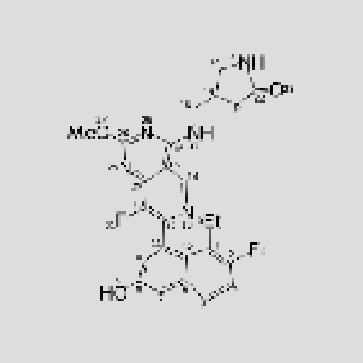 CCc1c(F)ccc2cc(O)cc(-c3ncc4c(NCC5CNC(=O)C5)nc(OC)nc4c3F)c12